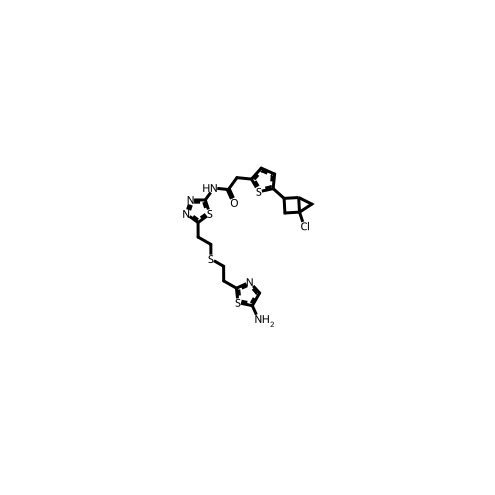 Nc1cnc(CCSCCc2nnc(NC(=O)Cc3ccc(C4CC5(Cl)CC45)s3)s2)s1